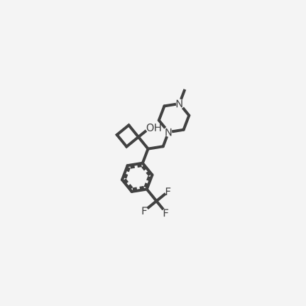 CN1CCN(CC(c2cccc(C(F)(F)F)c2)C2(O)CCC2)CC1